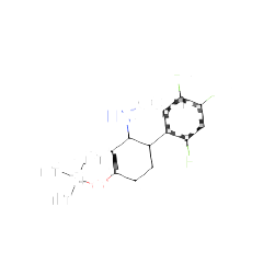 CC(C)[Si](OC1=CC(NC(=O)O)C(c2cc(F)c(F)cc2F)CC1)(C(C)C)C(C)C